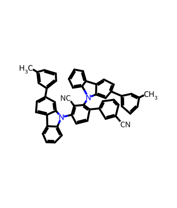 Cc1cccc(-c2ccc3c4ccccc4n(-c4ccc(-c5cccc(C#N)c5)c(-n5c6ccccc6c6ccc(-c7cccc(C)c7)cc65)c4C#N)c3c2)c1